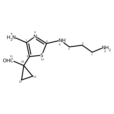 NCCCNc1nc(N)c(C2(C=O)CC2)s1